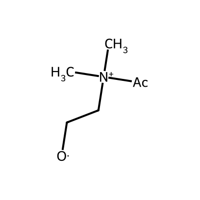 CC(=O)[N+](C)(C)CC[O]